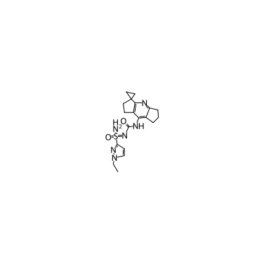 CCn1ccc(S(N)(=O)=NC(=O)Nc2c3c(nc4c2CCC42CC2)CCC3)n1